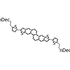 CCCCCCCCCCCCc1ccc(-c2cc3cc4ccc5c6cc7sc(-c8ccc(CCCCCCCCCCCC)s8)cc7cc6ccc5c4cc3s2)s1